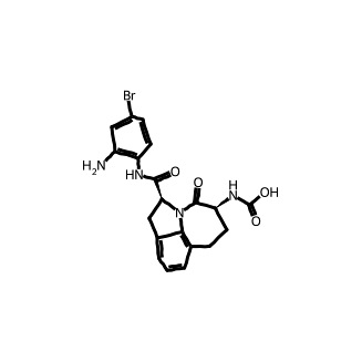 Nc1cc(Br)ccc1NC(=O)[C@@H]1Cc2cccc3c2N1C(=O)[C@@H](NC(=O)O)CC3